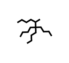 CCCCC(C)C(CCCC)(CCCC)CCCC